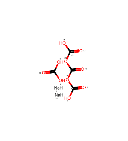 O=C(O)O.O=C(O)OC(=O)OC(=O)O.[NaH].[NaH]